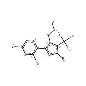 COCn1c(-c2ncc(Cl)cc2Cl)nc(Br)c1C(F)(F)F